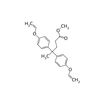 C=COc1ccc(C(C)(CCC(=O)OC)c2ccc(OC=C)cc2)cc1